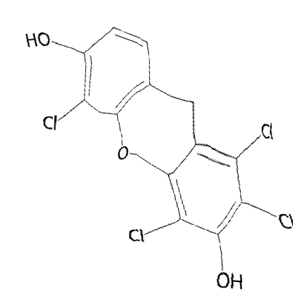 Oc1ccc2c(c1Cl)Oc1c(Cl)c(O)c(Cl)c(Cl)c1C2